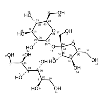 OC[C@@H](O)[C@@H](O)[C@H](O)[C@H](O)CO.OC[C@H]1O[C@@](CO)(O[C@H]2O[C@H](CO)[C@@H](O)[C@H](O)[C@H]2O)[C@@H](O)[C@@H]1O